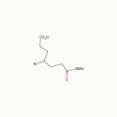 CNC(=O)CCC(CCC(=O)O)C(C)=O